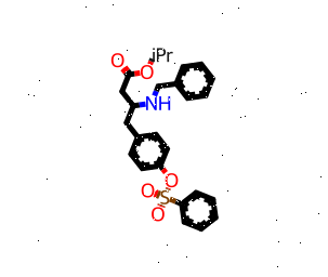 CC(C)OC(=O)CC(Cc1ccc(OS(=O)(=O)c2ccccc2)cc1)NCc1ccccc1